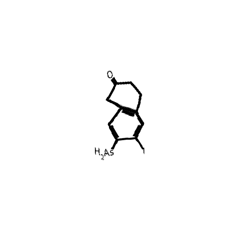 O=C1CCc2cc(I)c([AsH2])cc2C1